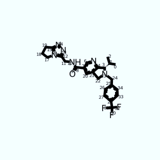 CC(C)[C@H]1c2ncc(C(=O)NCc3nnc4n3CCC4)cc2CN1Cc1ccc(C(F)(F)F)cc1